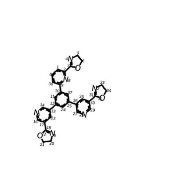 c1cc(C2=NCCO2)nc(-c2cc(-c3cncc(C4=NCCO4)c3)cc(-c3cncc(C4=NCCO4)c3)c2)c1